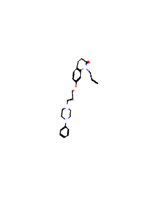 C=CCN1C(=O)CCc2ccc(OCC(O)CN3CCN(c4ccccc4)CC3)cc21